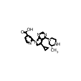 C[C@@H]1CN(c2ncnc3c2c(C2CC2)cn3-c2cc(C(=O)O)ccn2)CCN1